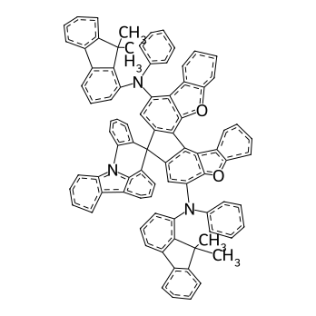 CC1(C)c2ccccc2-c2cccc(N(c3ccccc3)c3cc4c(c5c3oc3ccccc35)-c3c(cc(N(c5ccccc5)c5cccc6c5C(C)(C)c5ccccc5-6)c5c3oc3ccccc35)C43c4ccccc4-n4c5ccccc5c5cccc3c54)c21